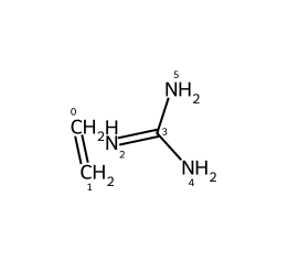 C=C.N=C(N)N